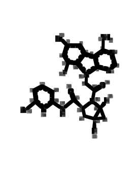 Nc1ncnc2c1c1cc(Br)cc(F)c1n2CC(=O)N1[C@@H]2C[C@@H]2C[C@H]1C(=O)Nc1cccc(Br)n1